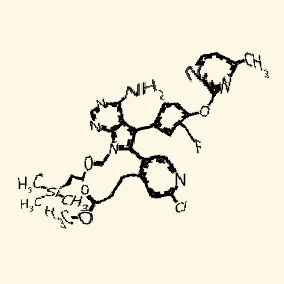 COC(=O)CCc1cc(Cl)ncc1-c1c(-c2ccc(Oc3nccc(C)n3)c(F)c2)c2c(N)ncnc2n1COCC[Si](C)(C)C